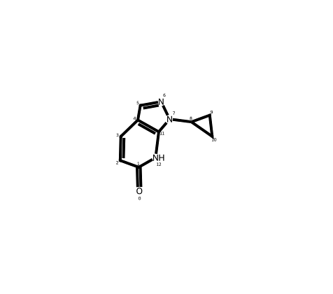 O=c1ccc2cnn(C3CC3)c2[nH]1